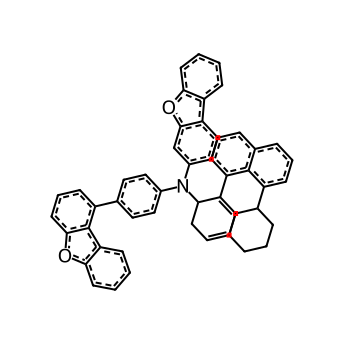 C1=CCC(N(c2ccc(-c3cccc4oc5ccccc5c34)cc2)c2ccc3c(c2)oc2ccccc23)C(c2cccc3cccc(C4CCCCC4)c23)=C1